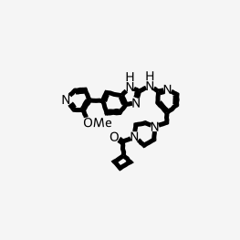 COc1cnccc1-c1ccc2nc(Nc3cc(CN4CCN(C(=O)C5CCC5)CC4)ccn3)[nH]c2c1